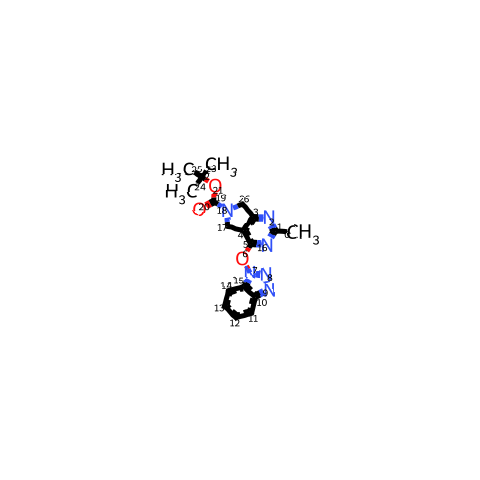 Cc1nc2c(c(On3nnc4ccccc43)n1)CN(C(=O)OC(C)(C)C)C2